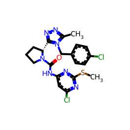 CSc1nc(Cl)cc(NC(=O)N2CCC[C@@H]2c2nnc(C)n2Cc2ccc(Cl)cc2)n1